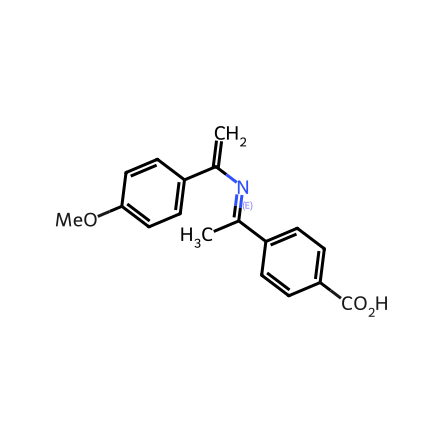 C=C(/N=C(\C)c1ccc(C(=O)O)cc1)c1ccc(OC)cc1